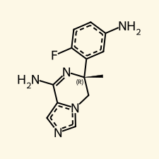 C[C@@]1(c2cc(N)ccc2F)Cn2cncc2C(N)=N1